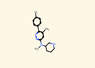 Cc1cc(N(C)C2CCCNC2)nnc1-c1ccc(C(F)(F)F)cc1